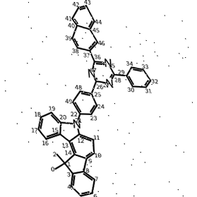 CC1(C)c2ccccc2-c2ccc3c(c21)c1ccccc1n3-c1ccc(-c2nc(-c3ccccc3)nc(-c3ccc4ccccc4c3)n2)cc1